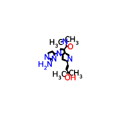 CN(C)C(=O)c1cn(-c2ccnc(N)n2)c2cc(C#CC(C)(C)O)ncc12